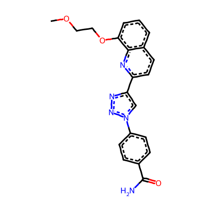 COCCOc1cccc2ccc(-c3cn(-c4ccc(C(N)=O)cc4)nn3)nc12